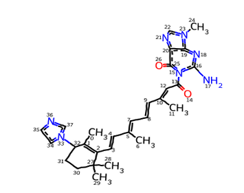 CC1=C(/C=C/C(C)=C/C=C/C(C)=C/C(=O)n2c(N)nc3c(ncn3C)c2=O)C(C)(C)CCC1n1ccnc1